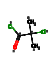 CC(C)(Cl)C(=O)Cl